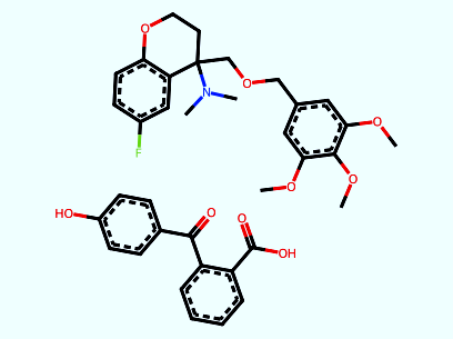 COc1cc(COCC2(N(C)C)CCOc3ccc(F)cc32)cc(OC)c1OC.O=C(O)c1ccccc1C(=O)c1ccc(O)cc1